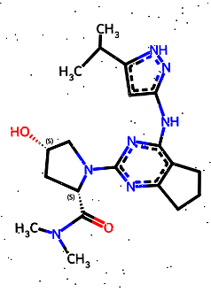 CC(C)c1cc(Nc2nc(N3C[C@@H](O)C[C@H]3C(=O)N(C)C)nc3c2CCC3)n[nH]1